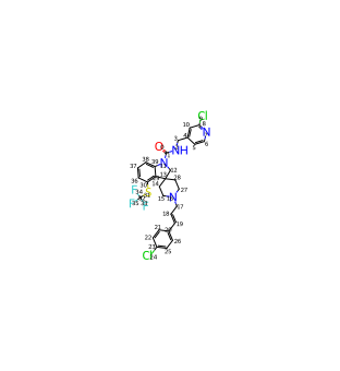 O=C(NCc1ccnc(Cl)c1)N1CC2(CCN(CC=Cc3ccc(Cl)cc3)CC2)c2c(SC(F)(F)F)cccc21